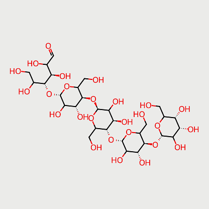 O=CC(O)[C@@H](O)[C@H](O[C@@H]1OC(CO)[C@@H](O[C@@H]2OC(CO)[C@@H](O[C@@H]3OC(CO)[C@@H](O[C@@H]4OC(CO)[C@H](O)[C@H](O)C4O)[C@H](O)C3O)[C@H](O)C2O)[C@H](O)C1O)C(O)CO